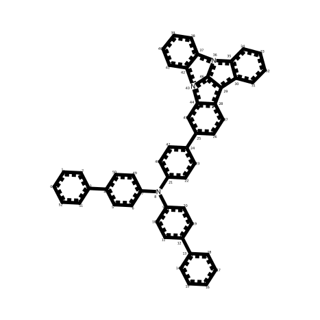 c1ccc(-c2ccc(N(c3ccc(-c4ccccc4)cc3)c3ccc(-c4ccc5c6c7ccccc7n7c8ccccc8n(c5c4)c67)cc3)cc2)cc1